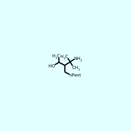 CCCCCCC(C(C)O)C(C)(C)N